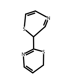 C1=CN=C(C2C=NC=CS2)SC1